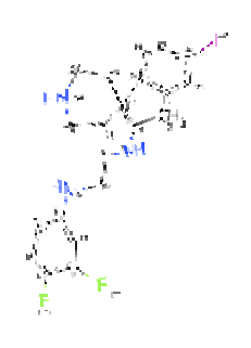 CC(NCCNc1ccc(F)c(F)c1)C1(c2ccc(I)cc2)CCNCC1